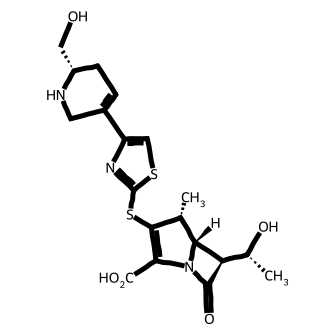 C[C@@H](O)[C@H]1C(=O)N2C(C(=O)O)=C(Sc3nc(C4=CC[C@@H](CO)NC4)cs3)[C@H](C)[C@H]12